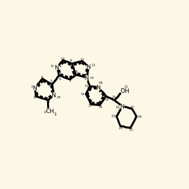 Cc1cncc(-c2cc3c(cn2)cnn3-c2cccc(C(O)N3CCCCC3)n2)n1